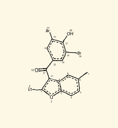 CCc1oc2ccc(C)cc2c1C(=O)c1cc(Br)c(O)c(Br)c1